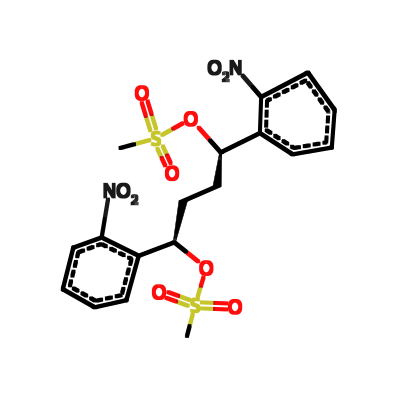 CS(=O)(=O)O[C@H](CC[C@@H](OS(C)(=O)=O)c1ccccc1[N+](=O)[O-])c1ccccc1[N+](=O)[O-]